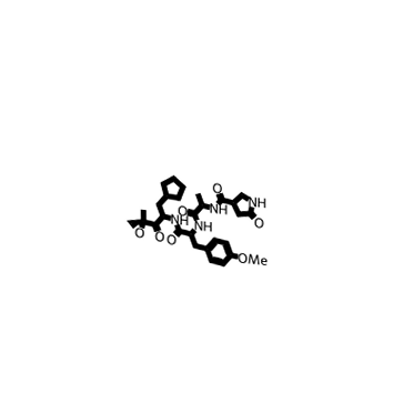 COc1ccc(CC(NC(=O)C(C)NC(=O)C2CNC(=O)C2)C(=O)NC(CC2CCCC2)C(=O)C2(C)CO2)cc1